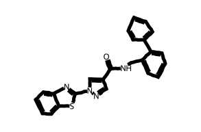 O=C(NCc1ccccc1-c1ccccc1)c1cnn(-c2nc3ccccc3s2)c1